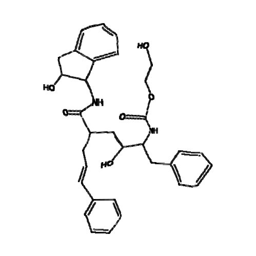 O=C(NC(Cc1ccccc1)C(O)CC(C/C=C/c1ccccc1)C(=O)NC1c2ccccc2CC1O)OCCO